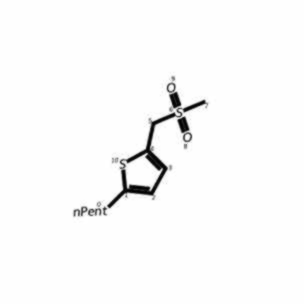 CCCCCc1ccc(CS(C)(=O)=O)s1